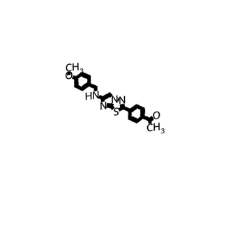 COc1ccc(CNc2cn3nc(-c4ccc(C(C)=O)cc4)sc3n2)cc1